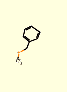 FC(F)(F)[P]Cc1ccccc1